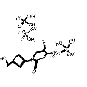 Nc1nc(=O)n(C2CC(CO)C2)cc1F.O=P(O)(O)O.O=P(O)(O)O.O=P(O)(O)O